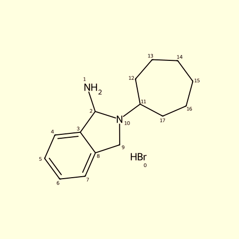 Br.NC1c2ccccc2CN1C1CCCCCC1